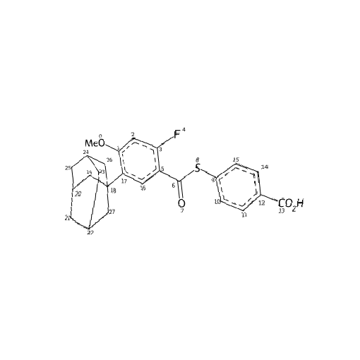 COc1cc(F)c(C(=O)Sc2ccc(C(=O)O)cc2)cc1C12CC3CC(CC(C3)C1)C2